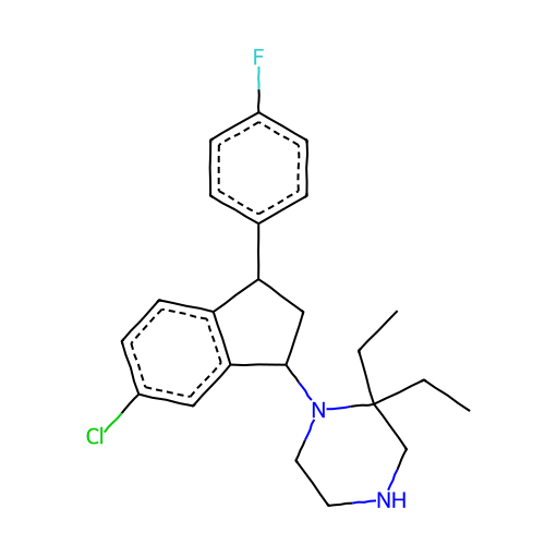 CCC1(CC)CNCCN1C1CC(c2ccc(F)cc2)c2ccc(Cl)cc21